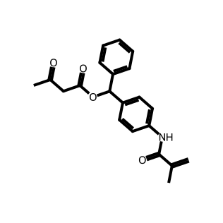 C=C(C)C(=O)Nc1ccc(C(OC(=O)CC(C)=O)c2ccccc2)cc1